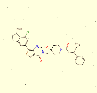 CNC1CCc2cc(-c3scc4c(=O)n(CC5(O)CCN(C(=O)CC(c6ccccc6)C6CC6)CC5)cnc34)cc(Cl)c21